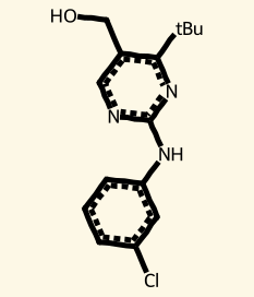 CC(C)(C)c1nc(Nc2cccc(Cl)c2)ncc1CO